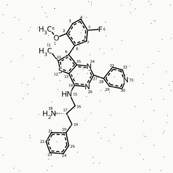 COc1ccc(F)cc1-c1c(C)sc2c(NC[C@@H](N)Cc3ccccc3)nc(-c3ccncc3)nc12